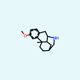 COc1ccc2c(c1)C1(C)CCC3CNC(C2)C1C3